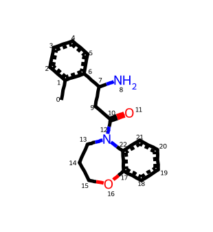 Cc1ccccc1C(N)CC(=O)N1CCCOc2ccccc21